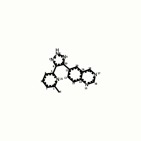 Cc1cccc(-c2n[nH]nc2-c2ccc3ncncc3c2)n1